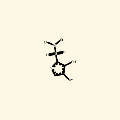 CCN(CC)S(=O)(=O)c1scc(C(C)C)c1O